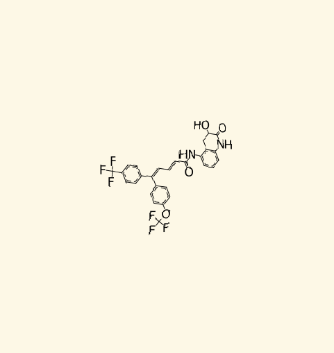 O=C(C=CC=C(c1ccc(OC(F)(F)F)cc1)c1ccc(C(F)(F)F)cc1)Nc1cccc2c1CC(O)C(=O)N2